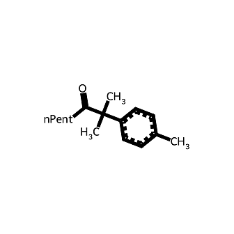 CCCCCC(=O)C(C)(C)c1ccc(C)cc1